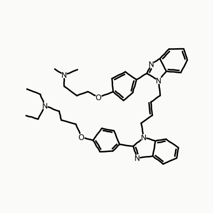 CCN(CC)CCCOc1ccc(-c2nc3ccccc3n2CC=CCn2c(-c3ccc(OCCCN(C)C)cc3)nc3ccccc32)cc1